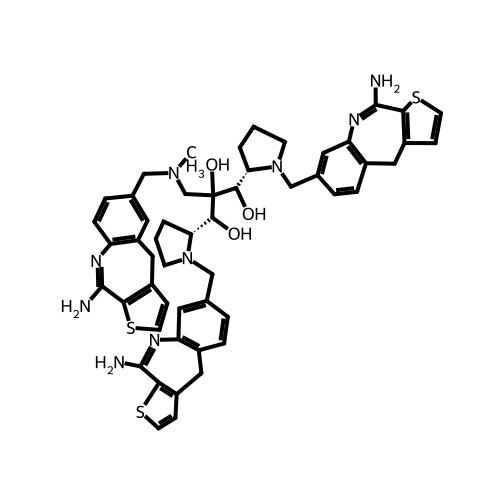 CN(Cc1ccc2c(c1)Cc1ccsc1C(N)=N2)CC(O)(C(O)[C@H]1CCCN1Cc1ccc2c(c1)N=C(N)c1sccc1C2)C(O)[C@@H]1CCCN1Cc1ccc2c(c1)N=C(N)c1sccc1C2